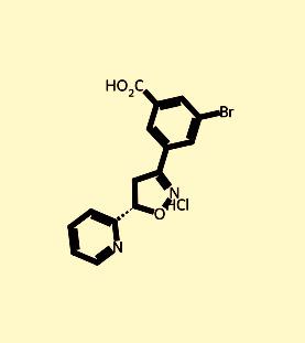 Cl.O=C(O)c1cc(Br)cc(C2=NO[C@H](c3ccccn3)C2)c1